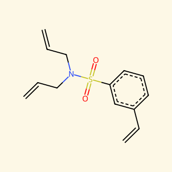 C=CCN(CC=C)S(=O)(=O)c1cccc(C=C)c1